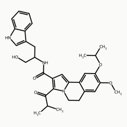 COc1cc2c(cc1OC(C)C)-c1cc(C(=O)NC(CO)Cc3c[nH]c4ccccc34)c(C(=O)C(C)C)n1CC2